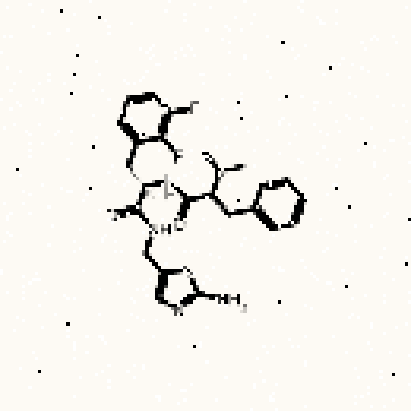 CN(C)C(Cc1ccccc1)C(=O)N[C@@H](Cc1cccc(F)c1F)C(=O)NCc1cnc(N)s1